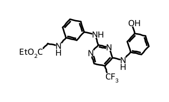 CCOC(=O)CNc1cccc(Nc2ncc(C(F)(F)F)c(Nc3cccc(O)c3)n2)c1